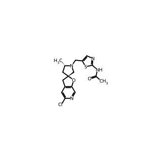 CC(=O)Nc1ncc(CN2C[C@@]3(Cc4cc(Cl)ncc4O3)C[C@@H]2C)s1